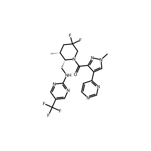 C[C@@H]1CC(F)(F)CN(C(=O)c2nn(C)cc2-c2ccncn2)[C@@H]1CNc1ncc(C(F)(F)F)cn1